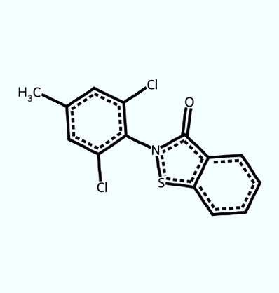 Cc1cc(Cl)c(-n2sc3ccccc3c2=O)c(Cl)c1